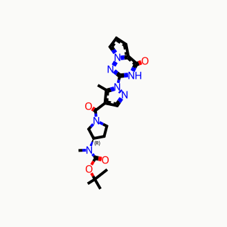 Cc1c(C(=O)N2CC[C@@H](N(C)C(=O)OC(C)(C)C)C2)cnn1-c1nn2cccc2c(=O)[nH]1